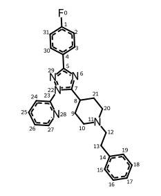 Fc1ccc(-c2nc(C3CCN(CCc4ccccc4)CC3)n(-c3ccccn3)n2)cc1